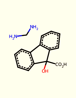 NCN.O=C(O)C1(O)c2ccccc2-c2ccccc21